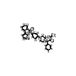 CCNC(=O)C(c1ccccc1)N1CCN(c2ccc(NC(=O)c3ccccc3-c3cccnc3)cc2)CC1